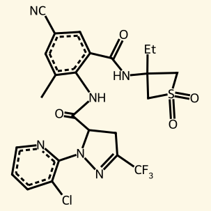 CCC1(NC(=O)c2cc(C#N)cc(C)c2NC(=O)C2CC(C(F)(F)F)=NN2c2ncccc2Cl)CS(=O)(=O)C1